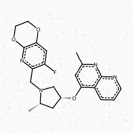 Cc1cc(O[C@@H]2C[C@H](C)N(Cc3nc4c(cc3F)OCCO4)C2)c2cccnc2n1